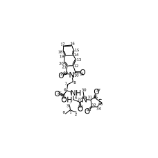 CC(C)C[C@H](N[C@H](CCN1C(=O)c2cc3ccccc3cc2C1=O)C(=O)O)C(=O)N(C)C1C(=O)CSC1=O